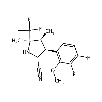 COc1c([C@H]2[C@H](C#N)N[C@@](C)(C(F)(F)F)[C@H]2C)ccc(F)c1F